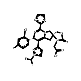 O=C(O)CN1C(=O)OC[C@@]12CC1=C(c3ccn(C(F)F)n3)[C@H](c3ccc(F)cc3Cl)N=C(c3nccs3)N1C2